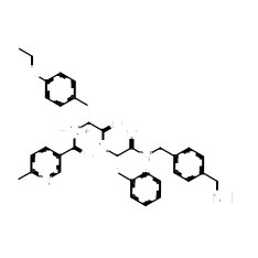 CCOc1ccc(C[C@@H](NC(=O)c2ccc(C)nc2)C(=O)N[C@@H](Cc2ccccc2)C(=O)NCc2ccc(CN)cc2)cc1